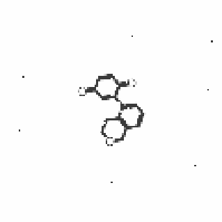 O=C1C=CC(=O)C(c2cccc3c2CCOC3)=C1